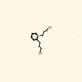 OCCCc1cccc[n+]1CCCO